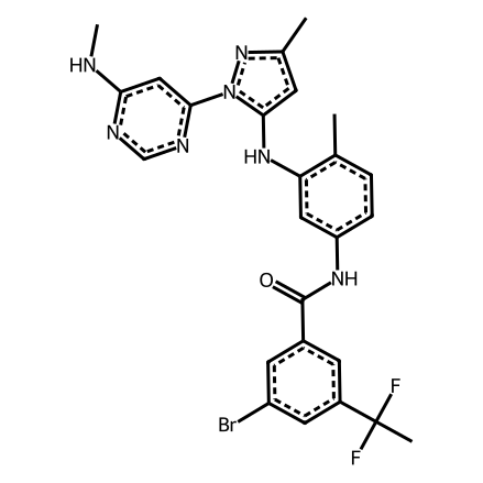 CNc1cc(-n2nc(C)cc2Nc2cc(NC(=O)c3cc(Br)cc(C(C)(F)F)c3)ccc2C)ncn1